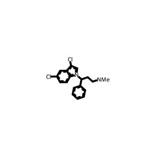 CNCCC(c1ccccc1)n1cc(Cl)c2cc(Cl)ccc21